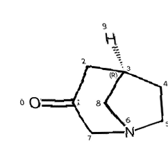 O=C1C[C@H]2CCN(C1)C2